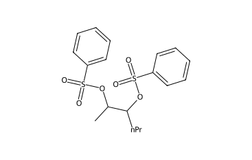 CCCC(OS(=O)(=O)c1ccccc1)C(C)OS(=O)(=O)c1ccccc1